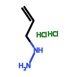 C=CCNN.Cl.Cl